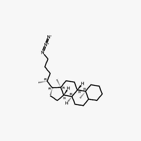 C[C@H](CCCN=[N+]=[N-])[C@H]1CC[C@H]2[C@@H]3CCC4CCCC[C@]4(C)[C@H]3CC[C@]12C